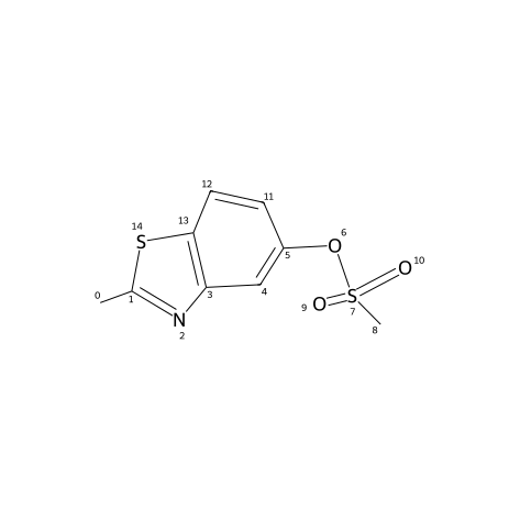 Cc1nc2cc(OS(C)(=O)=O)ccc2s1